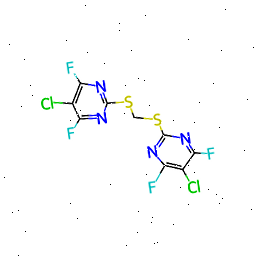 Fc1nc(SCSc2nc(F)c(Cl)c(F)n2)nc(F)c1Cl